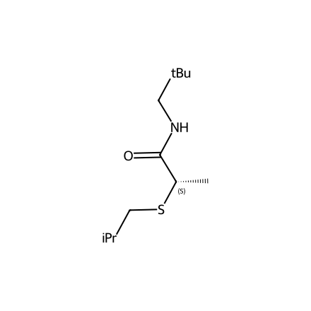 CC(C)CS[C@@H](C)C(=O)NCC(C)(C)C